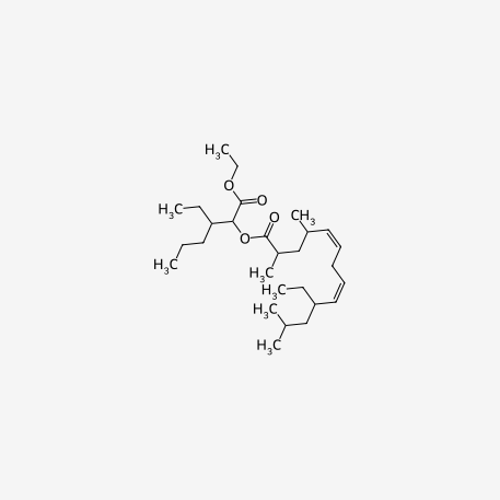 CCCC(CC)C(OC(=O)C(C)CC(C)/C=C\C/C=C\C(CC)CC(C)C)C(=O)OCC